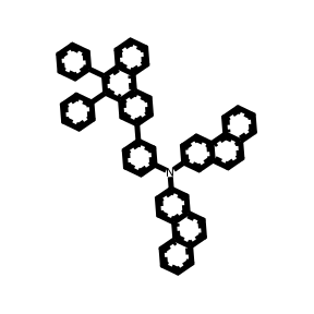 c1ccc(-c2c(-c3ccccc3)c3cc(-c4cccc(N(c5ccc6c(ccc7ccccc76)c5)c5ccc6c(ccc7ccccc76)c5)c4)ccc3c3ccccc23)cc1